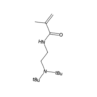 C=C(C)C(=O)NCCN(C(C)(C)C)C(C)(C)C